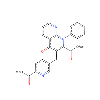 COC(=O)c1ccc(Cc2c(C(=O)OC)n(-c3ccccc3)c3nc(C)ccc3c2=O)cn1